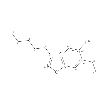 CCCCCc1noc2cc(CC)c(F)cc12